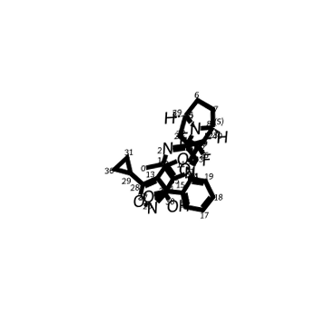 Cc1nc(N2[C@@H]3CC[C@H]2C[C@H](OCc2c(-c4ccccc4OC(F)(F)F)noc2C2CC2)C3)cnc1C(=O)O